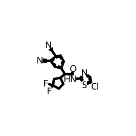 N#Cc1ccc(C(C(=O)Nc2ncc(Cl)s2)C2CCC(F)(F)C2)cc1C#N